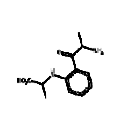 CC(N)C(=O)c1ccccc1NC(C)C(=O)O